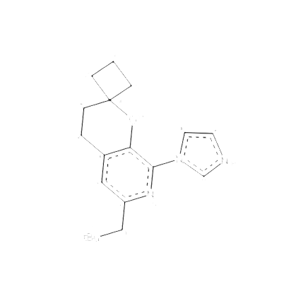 CC(C)(C)Cc1cc2c(c(-n3ccnc3)n1)OC1(CCC1)CC2